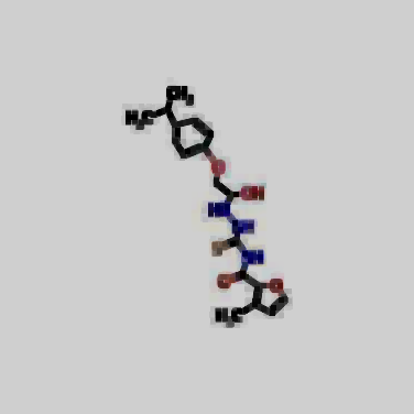 Cc1ccoc1C(=O)NC(=S)NNC(O)COc1ccc(C(C)C)cc1